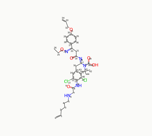 C=CCCCCNCC(=O)Nc1c(Cl)cc(CC(=NC(=O)CC(=NOCC)c2ccc(OCC=C)cc2)N(C(=O)O)C(C)(C)C)cc1Cl